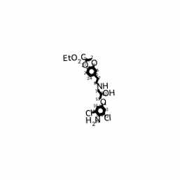 CCOC(=O)[C@H]1COc2cc(CCNC[C@H](O)COc3cc(Cl)c(N)c(Cl)c3)ccc2O1